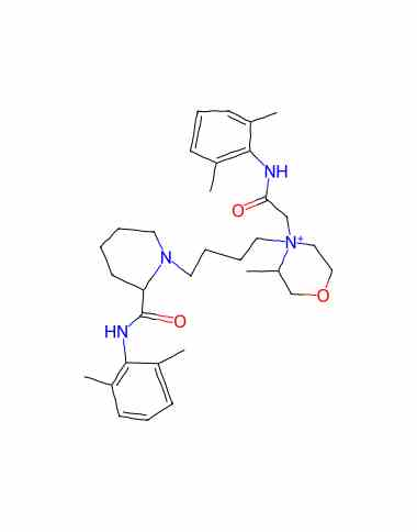 Cc1cccc(C)c1NC(=O)C[N+]1(CCCCN2CCCCC2C(=O)Nc2c(C)cccc2C)CCOCC1C